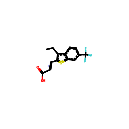 CCc1c(/C=C/C(=O)O)sc2cc(C(F)(F)F)ccc12